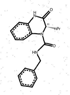 CCC[C@H]1C(=O)Nc2ccccc2N1C(=O)NCc1ccccc1